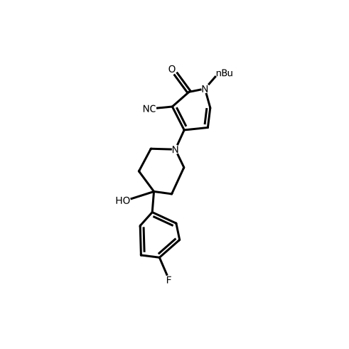 CCCCn1ccc(N2CCC(O)(c3ccc(F)cc3)CC2)c(C#N)c1=O